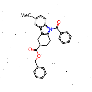 COc1ccc2c(c1)c1c(n2C(=O)c2ccccc2)CCC(C(=O)OCc2ccccc2)C1